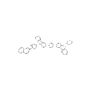 c1ccc(-n2c3ccccc3c3cc(-c4ccc(-c5ccc6c(c5)c5ccccc5n6-c5ccc6c(c5)sc5c7ccccc7ccc65)cc4)ccc32)cc1